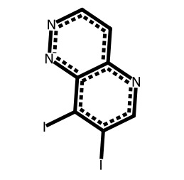 Ic1cnc2ccnnc2c1I